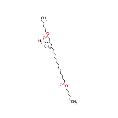 CCCCCCOC(=O)CCCCCCCCCCCCCCCC(CC(=O)OCCCCCC)C(C)C